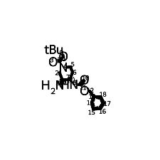 CC(C)(C)OC(=O)N1CC[C@@H](NC(=O)OCc2ccccc2)[C@@H](N)C1